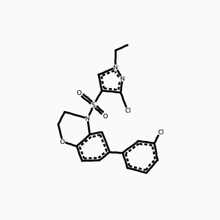 CCn1cc(S(=O)(=O)N2CCOc3ccc(-c4cccc(Cl)c4)cc32)c(Cl)n1